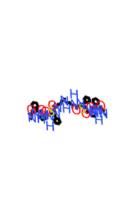 CN[C@@H](C)C(=O)N[C@H](C(=O)N1CCC[C@H]1C(=O)Nc1sc(C(=O)NCCCN(C)CCCNC(=O)c2nc(-c3ccccc3)c(NC(=O)[C@@H]3CCCN3C(=O)[C@@H](NC(=O)[C@H](C)NC)C3CCCCC3)s2)nc1-c1ccccc1)C1CCCCC1